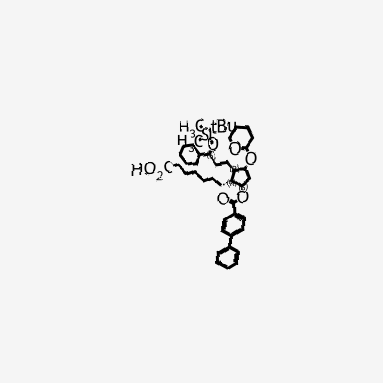 CC(C)(C)[Si](C)(C)O[C@@H](CC[C@H]1C(OC2CCCCO2)C[C@H](OC(=O)c2ccc(-c3ccccc3)cc2)[C@@H]1CCCCCCC(=O)O)C1CCCCC1